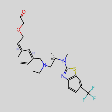 C=C/C(=C\C(C)=C/COCC=O)CN(CC)C[C@H](C)N(C)c1nc2ccc(C(F)(F)F)cc2s1